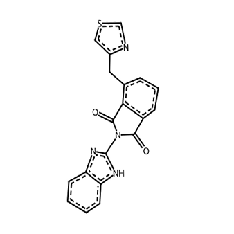 O=C1c2cccc(Cc3cscn3)c2C(=O)N1c1nc2ccccc2[nH]1